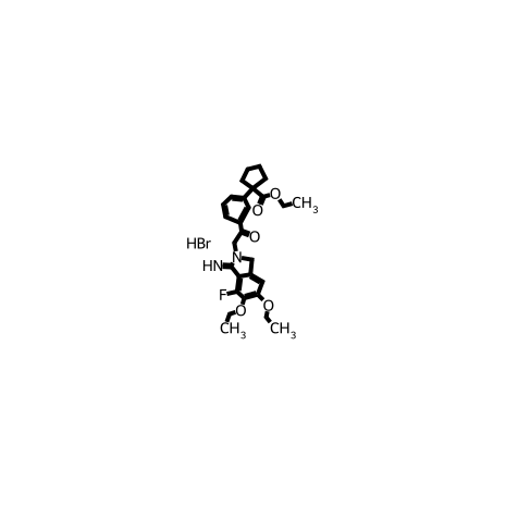 Br.CCOC(=O)C1(c2cccc(C(=O)CN3Cc4cc(OCC)c(OCC)c(F)c4C3=N)c2)CCCC1